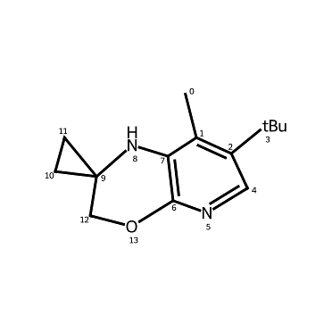 Cc1c(C(C)(C)C)cnc2c1NC1(CC1)CO2